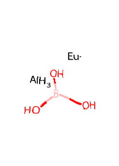 OB(O)O.[AlH3].[Eu]